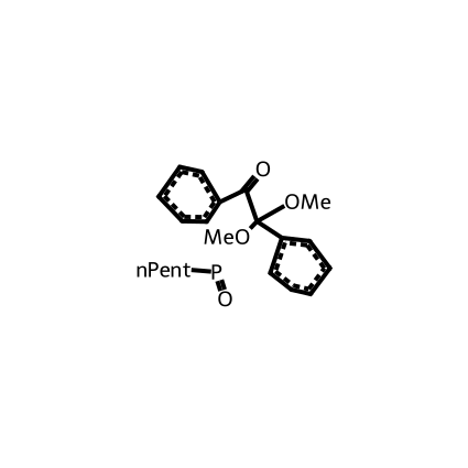 CCCCCP=O.COC(OC)(C(=O)c1ccccc1)c1ccccc1